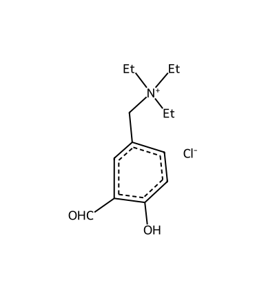 CC[N+](CC)(CC)Cc1ccc(O)c(C=O)c1.[Cl-]